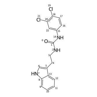 O=C(NCCc1c[nH]c2ccccc12)Nc1ccc(Cl)c(Cl)c1